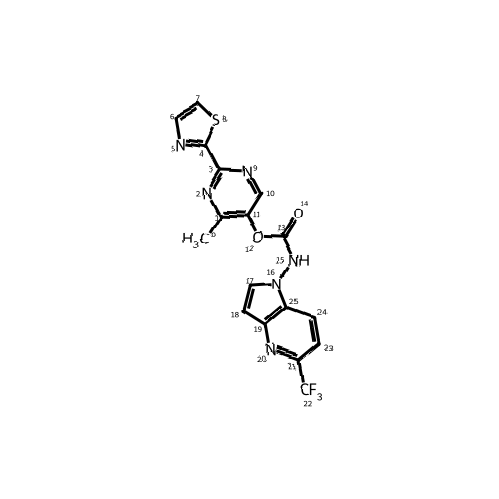 Cc1nc(-c2nccs2)ncc1OC(=O)Nn1ccc2nc(C(F)(F)F)ccc21